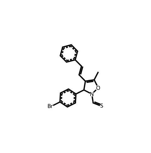 CC1=C(C=Cc2ccccc2)C(c2ccc(Br)cc2)N(C=S)O1